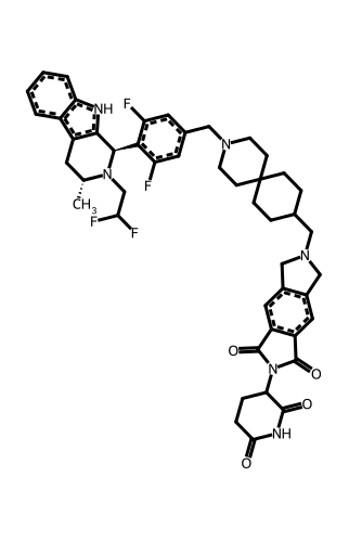 C[C@@H]1Cc2c([nH]c3ccccc23)[C@@H](c2c(F)cc(CN3CCC4(CCC(CN5Cc6cc7c(cc6C5)C(=O)N(C5CCC(=O)NC5=O)C7=O)CC4)CC3)cc2F)N1CC(F)F